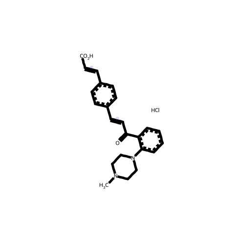 CN1CCN(c2ccccc2C(=O)/C=C/c2ccc(/C=C/C(=O)O)cc2)CC1.Cl